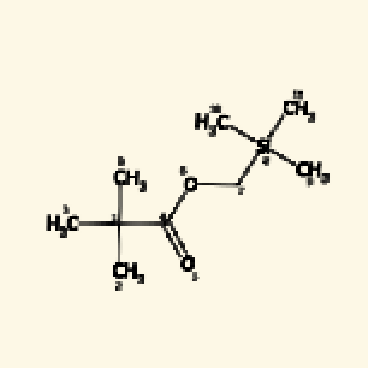 CC(C)(C)C(=O)OC[Si](C)(C)C